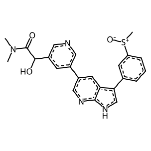 CN(C)C(=O)C(O)c1cncc(-c2cnc3[nH]cc(-c4cccc([S+](C)[O-])c4)c3c2)c1